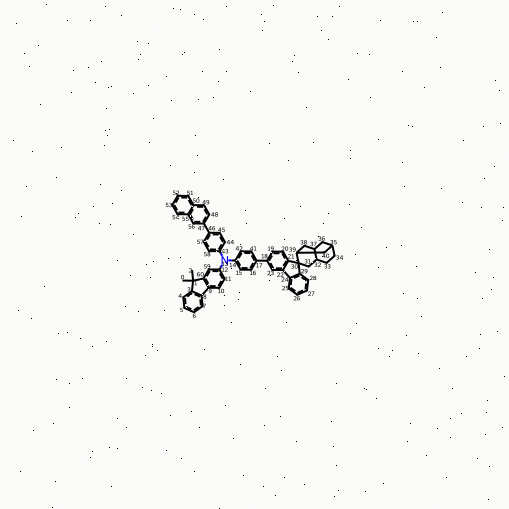 CC1(C)c2ccccc2-c2ccc(N(c3ccc(-c4ccc5c(c4)-c4ccccc4C54CC5CCC6CC5CC4C6)cc3)c3ccc(-c4ccc5ccccc5c4)cc3)cc21